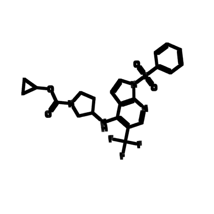 O=C(OC1CC1)N1CCC(Nc2c(C(F)(F)F)cnc3c2ccn3S(=O)(=O)c2ccccc2)C1